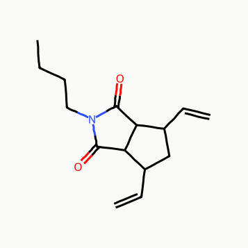 C=CC1CC(C=C)C2C(=O)N(CCCC)C(=O)C12